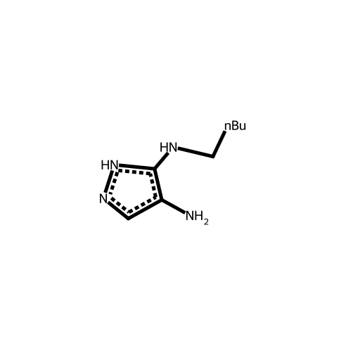 CCCCCNc1[nH]ncc1N